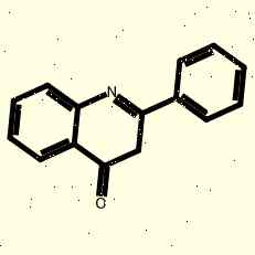 O=C1CC(c2ccccc2)=Nc2ccccc21